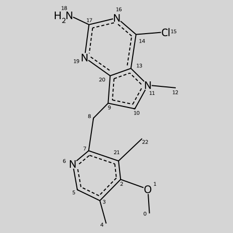 COc1c(C)cnc(Cc2cn(C)c3c(Cl)nc(N)nc23)c1C